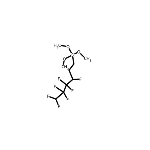 CO[Si](CCC(F)C(F)(F)C(F)(F)C(F)F)(OC)OC